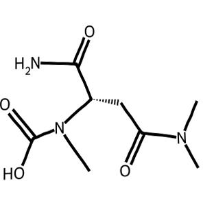 CN(C)C(=O)C[C@@H](C(N)=O)N(C)C(=O)O